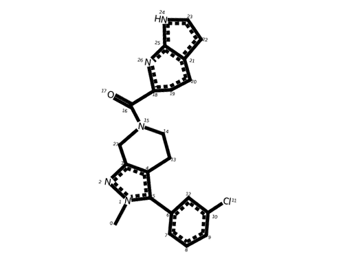 Cn1nc2c(c1-c1cccc(Cl)c1)CCN(C(=O)c1ccc3cc[nH]c3n1)C2